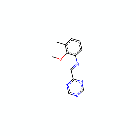 COc1c(C)cccc1N=Cc1ncncn1